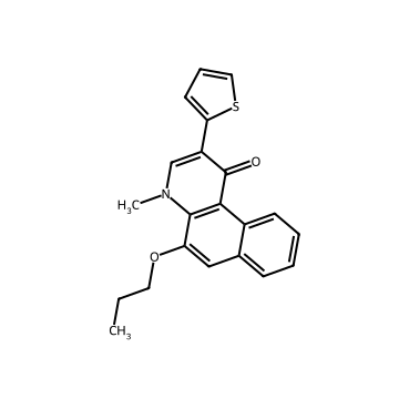 CCCOc1cc2ccccc2c2c(=O)c(-c3cccs3)cn(C)c12